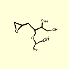 CCCC(O)OC(CC1CO1)C(O)CO